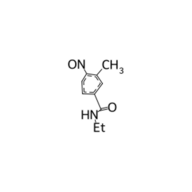 CCNC(=O)c1ccc(N=O)c(C)c1